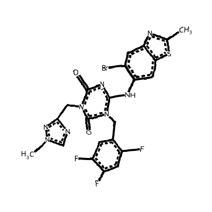 Cc1nc2cc(Br)c(Nc3nc(=O)n(Cc4ncn(C)n4)c(=O)n3Cc3cc(F)c(F)cc3F)cc2s1